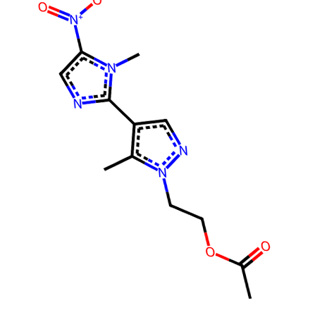 CC(=O)OCCn1ncc(-c2ncc([N+](=O)[O-])n2C)c1C